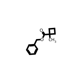 CC1(C(=O)OCc2ccccc2)CCC1